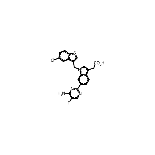 Nc1nc(-c2ccc3c(CC(=O)O)cn(Cc4csc5ccc(Cl)cc45)c3c2)ncc1F